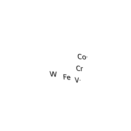 [Co].[Cr].[Fe].[V].[W]